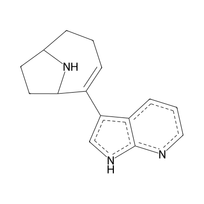 C1=C(c2c[nH]c3ncccc23)C2CCC(CC1)N2